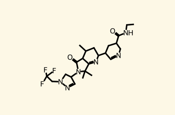 CCNC(=O)C1CN=CC(C2CC(C)C3C(=O)N(C4C=NN(CC(F)(F)F)C4)C(C)(C)C3=N2)C1